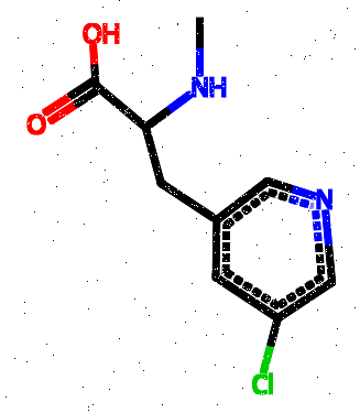 CNC(Cc1cncc(Cl)c1)C(=O)O